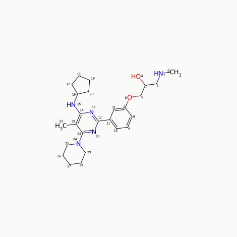 CNCC(O)COc1cccc(-c2nc(NC3CCCC3)c(C)c(N3CCCCC3)n2)c1